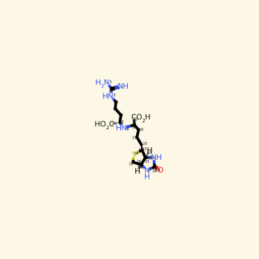 N=C(N)NCCC[C@H](NC(CCC[C@@H]1SC[C@@H]2NC(=O)N[C@@H]21)C(=O)O)C(=O)O